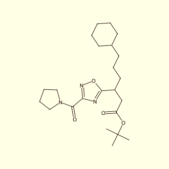 CC(C)(C)OC(=O)CC(CCCC1CCCCC1)c1nc(C(=O)N2CCCC2)no1